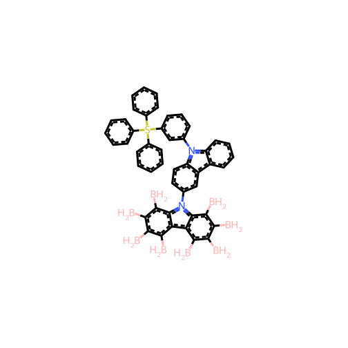 Bc1c(B)c(B)c2c(c1B)c1c(B)c(B)c(B)c(B)c1n2-c1ccc2c(c1)c1ccccc1n2-c1cccc(S(c2ccccc2)(c2ccccc2)c2ccccc2)c1